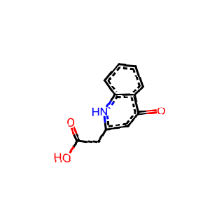 O=C(O)Cc1cc(=O)c2ccccc2[nH]1